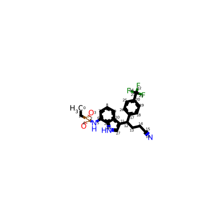 CCS(=O)(=O)Nc1cccc2c(C(CCC#N)c3ccc(C(F)(F)F)cc3)c[nH]c12